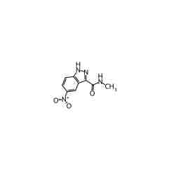 CNC(=O)c1n[nH]c2ccc([N+](=O)[O-])cc12